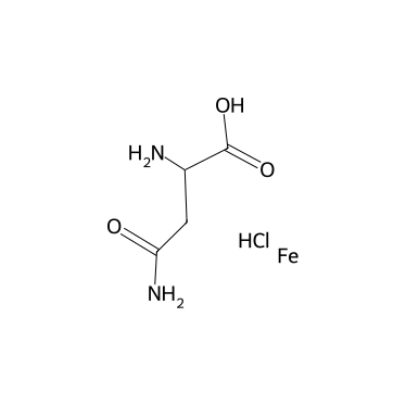 Cl.NC(=O)CC(N)C(=O)O.[Fe]